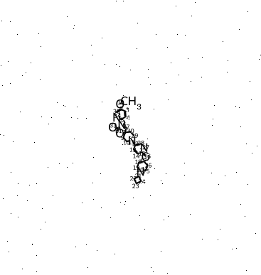 COc1ccc(N2CC3(CCN(c4ccc(OC5CCN(C6CCC6)CC5)nc4)CC3)OC2=O)nc1